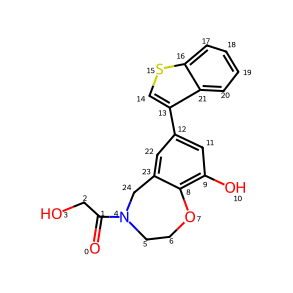 O=C(CO)N1CCOc2c(O)cc(-c3csc4ccccc34)cc2C1